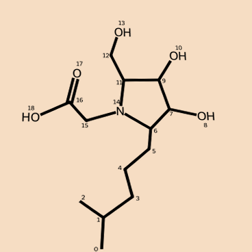 CC(C)CCCC1C(O)C(O)C(CO)N1CC(=O)O